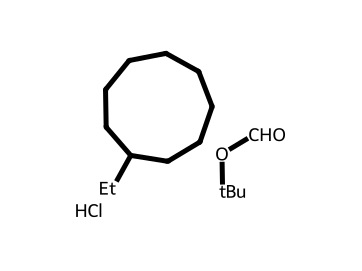 CC(C)(C)OC=O.CCC1CCCCCCCC1.Cl